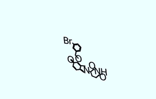 O=C1CCC(N2C=C3C=CC(=O)C(OCc4cccc(Br)c4)=C3C2)C(=O)N1